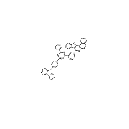 c1ccc(-c2nc(-c3ccc(-n4c5ccccc5c5ccccc54)cc3)nc(-c3cccc(-c4nc5ccc6ccccc6c5c5oc6ccccc6c45)c3)n2)cc1